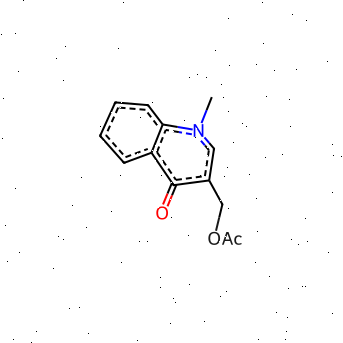 CC(=O)OCc1cn(C)c2ccccc2c1=O